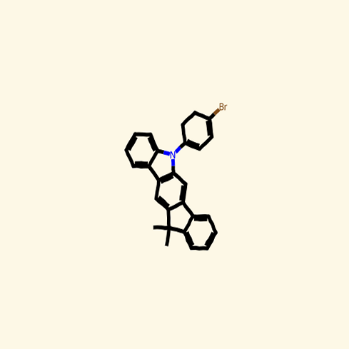 CC1(C)c2ccccc2-c2cc3c(cc21)c1ccccc1n3C1=CC=C(Br)CC1